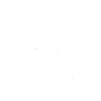 [2H]c1cc(C)cc2c1c(SC)c(-c1ccc(C)cc1)n2S(=O)(=O)Cc1ccccc1